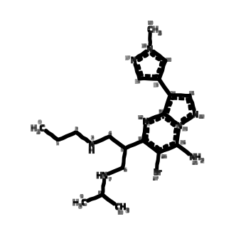 CCCNCC(CNC(C)C)c1nc2c(-c3cnn(C)c3)cnn2c(N)c1Br